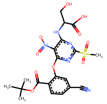 CC(C)(C)OC(=O)c1ccc(C#N)cc1Oc1nc(S(C)(=O)=O)nc(NC(CO)C(=O)O)c1[N+](=O)[O-]